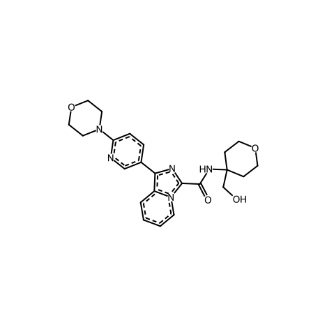 O=C(NC1(CO)CCOCC1)c1nc(-c2ccc(N3CCOCC3)nc2)c2ccccn12